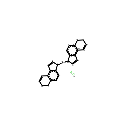 C1=Cc2c(ccc3c2C=C[CH]3[Zr+2][CH]2C=Cc3c2ccc2c3C=CCC2)CC1.[Cl-].[Cl-]